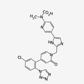 CN(C(=O)O)c1ccc(-c2cnc(Cn3ccc(-c4cc(Cl)ccc4-n4cnnn4)cc3=O)[nH]2)cn1